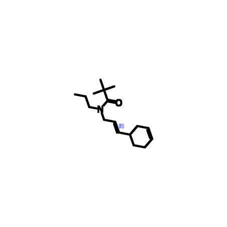 CCCN(C/C=C/C1CC=CCC1)C(=O)C(C)(C)C